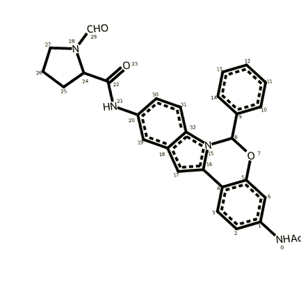 CC(=O)Nc1ccc2c(c1)OC(c1ccccc1)n1c-2cc2cc(NC(=O)C3CCCN3C=O)ccc21